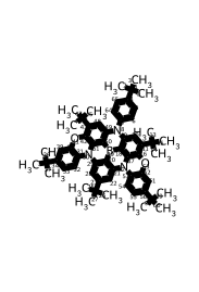 CC(C)(C)c1ccc(N2c3cc(C(C)(C)C)c4c5c3B3c6c(cc(C(C)(C)C)cc6N6c7ccc(C(C)(C)C)cc7Oc7c(C(C)(C)C)cc2c3c76)N5c2ccc(C(C)(C)C)cc2O4)cc1